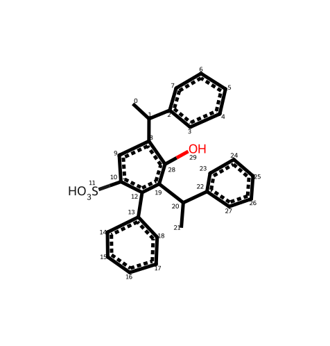 CC(c1ccccc1)c1cc(S(=O)(=O)O)c(-c2ccccc2)c(C(C)c2ccccc2)c1O